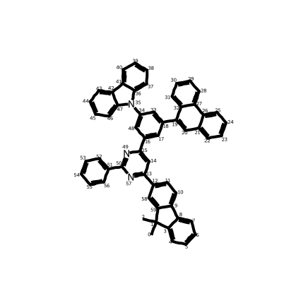 CC1(C)c2ccccc2-c2ccc(-c3cc(-c4cc(-c5cc6ccccc6c6ccccc56)cc(-n5c6ccccc6c6ccccc65)c4)nc(-c4ccccc4)n3)cc21